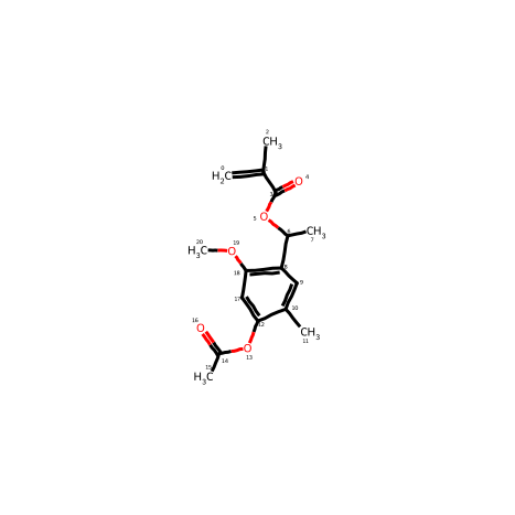 C=C(C)C(=O)OC(C)c1cc(C)c(OC(C)=O)cc1OC